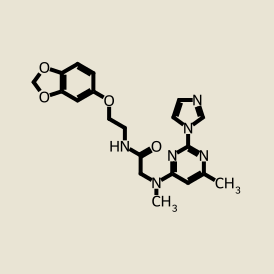 Cc1cc(N(C)CC(=O)NCCOc2ccc3c(c2)OCO3)nc(-n2ccnc2)n1